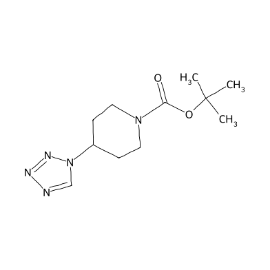 CC(C)(C)OC(=O)N1CCC(n2cnnn2)CC1